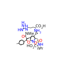 CCCC(NS(=O)(=O)Cc1nc2oc(-c3ccc(C)cc3)c(C(=O)NC)c2cc1C1CC1)C(=O)O.N=C(N)NCCCC(N)C(=O)O